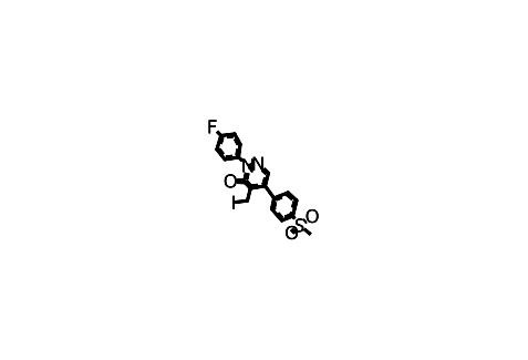 CS(=O)(=O)c1ccc(-c2cnn(-c3ccc(F)cc3)c(=O)c2CI)cc1